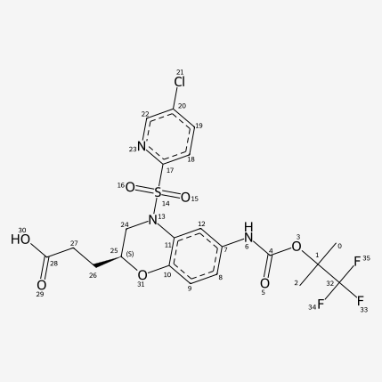 CC(C)(OC(=O)Nc1ccc2c(c1)N(S(=O)(=O)c1ccc(Cl)cn1)C[C@H](CCC(=O)O)O2)C(F)(F)F